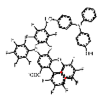 O=C([O-])c1cc(Oc2c(F)c(F)c(F)c(F)c2F)c(Oc2c(F)c(F)c(F)c(F)c2F)c(Oc2c(F)c(F)c(F)c(F)c2F)c1-c1c(F)c(F)c(F)c(F)c1F.Oc1ccc([S+](c2ccccc2)c2ccc(O)cc2)cc1